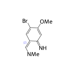 CN/C=C1/C=C(Br)C(OC)=CC1=N